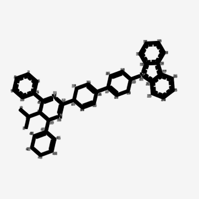 CC(C)C1C(c2ccccc2)=NC(C2C=CC(C3=CCC(n4c5ccccc5c5ccccc54)C=C3)=CC2)=NC1C1=CCCC=C1